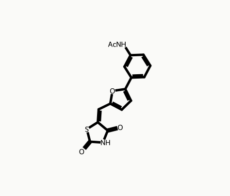 CC(=O)Nc1cccc(-c2ccc(/C=C3/SC(=O)NC3=O)o2)c1